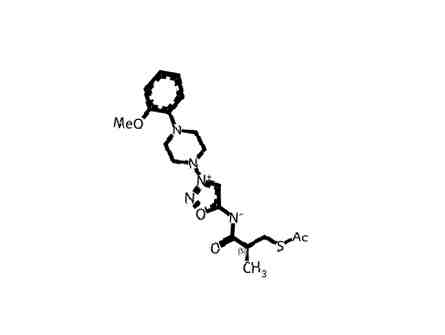 COc1ccccc1N1CCN([n+]2cc([N-]C(=O)[C@H](C)CSC(C)=O)on2)CC1